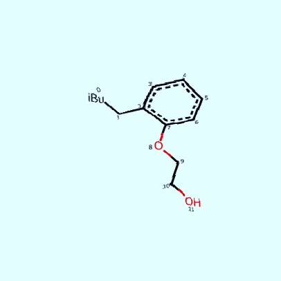 CCC(C)Cc1ccccc1OCCO